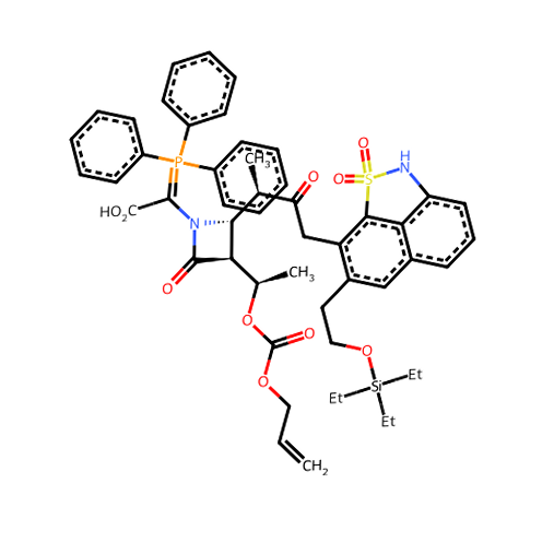 C=CCOC(=O)O[C@H](C)[C@H]1C(=O)N(C(C(=O)O)=P(c2ccccc2)(c2ccccc2)c2ccccc2)[C@@H]1[C@@H](C)C(=O)Cc1c(CCO[Si](CC)(CC)CC)cc2cccc3c2c1S(=O)(=O)N3